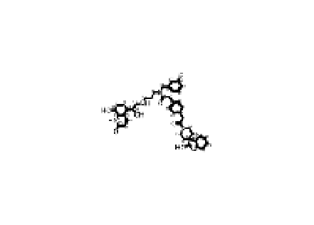 O=C(Cc1ccc(CC(=O)N(CCCNCC(O)c2ccc(O)c3[nH]c(=O)ccc23)Cc2cccc(F)c2)cc1)N1CCC(C(=O)O)(c2ccccc2)CC1